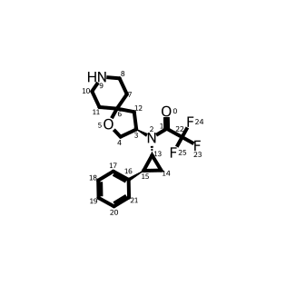 O=C(N([C@H]1COC2(CCNCC2)C1)[C@@H]1C[C@H]1c1ccccc1)C(F)(F)F